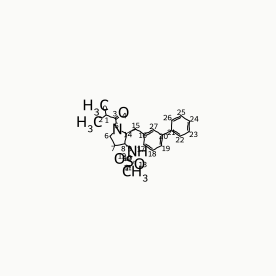 CC(C)C(=O)N1CC[C@H](NS(C)(=O)=O)[C@@H]1Cc1cccc(-c2ccccc2)c1